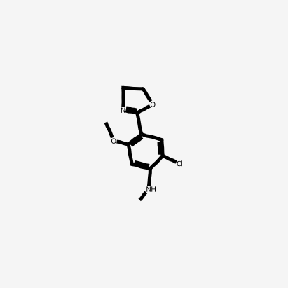 CNc1cc(OC)c(C2=NCCO2)cc1Cl